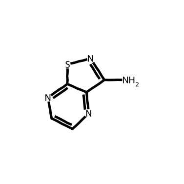 Nc1nsc2nccnc12